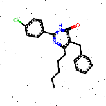 CCCCCc1nc(-c2ccc(Cl)cc2)[nH]c(=O)c1Cc1ccccc1